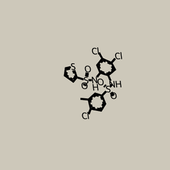 Cc1cc(S(=O)(=O)Nc2cc(Cl)c(Cl)cc2NS(=O)(=O)c2cccs2)ccc1Cl